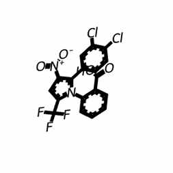 O=C(O)c1ccccc1-n1c(C(F)(F)F)cc([N+](=O)[O-])c1-c1ccc(Cl)c(Cl)c1